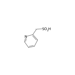 O=S(=O)(O)[CH]c1ccccn1